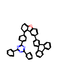 C1=c2oc3ccc(-c4ccc5c6ccccc6c6ccccc6c5c4)cc3c2=C(c2ccc(-c3nc(-c4ccccc4)nc(-c4ccccc4)n3)cc2)CC1